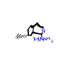 COc1ccc2ccnc(NN)c2c1